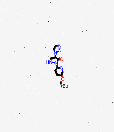 CC(C)(C)COc1ccc(-n2[nH]cc(-n3ccnn3)c2=O)nc1